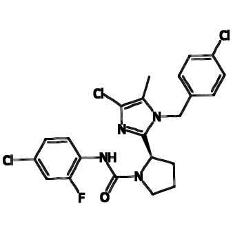 Cc1c(Cl)nc([C@H]2CCCN2C(=O)Nc2ccc(Cl)cc2F)n1Cc1ccc(Cl)cc1